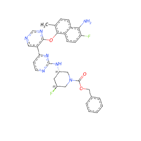 Cc1ccc2c(N)c(F)ccc2c1Oc1ncncc1-c1ccnc(N[C@H]2C[C@H](F)CN(C(=O)OCc3ccccc3)C2)n1